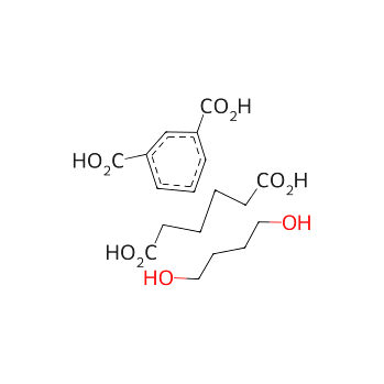 O=C(O)CCCCC(=O)O.O=C(O)c1cccc(C(=O)O)c1.OCCCCO